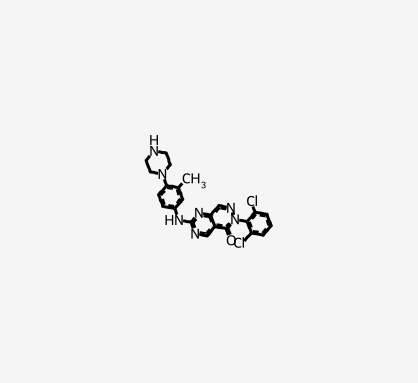 Cc1cc(Nc2ncc3c(=O)n(-c4c(Cl)cccc4Cl)ncc3n2)ccc1N1CCNCC1